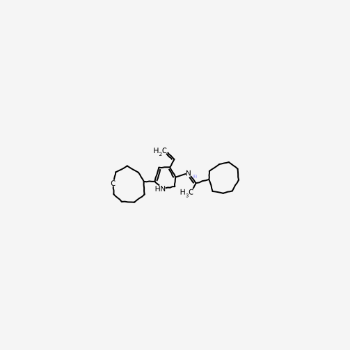 C=CC1=C(/N=C(\C)C2CCCCCCCC2)CNC(C2CCCCCCCC2)=C1